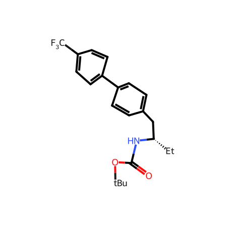 CC[C@@H](Cc1ccc(-c2ccc(C(F)(F)F)cc2)cc1)NC(=O)OC(C)(C)C